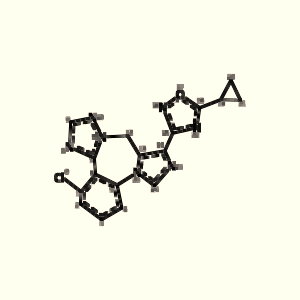 Clc1cccc2c1-c1ncnn1Cc1c(-c3noc(C4CC4)n3)ncn1-2